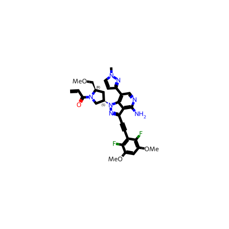 C=CC(=O)N1C[C@@H](n2nc(C#Cc3c(F)c(OC)cc(OC)c3F)c3c(N)ncc(-c4ccn(C)n4)c32)C[C@@H]1COC